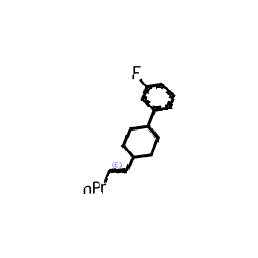 CCC/C=C/C1CCC(c2cccc(F)c2)CC1